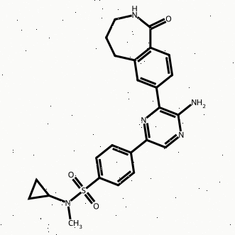 CN(C1CC1)S(=O)(=O)c1ccc(-c2cnc(N)c(-c3ccc4c(c3)CCCNC4=O)n2)cc1